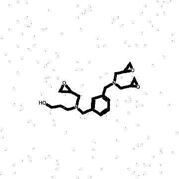 OCCCN(Cc1cccc(CN(CC2CO2)CC2CO2)c1)CC1CO1